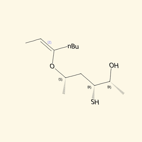 C/C=C(/CCCC)O[C@@H](C)C[C@@H](S)[C@@H](C)O